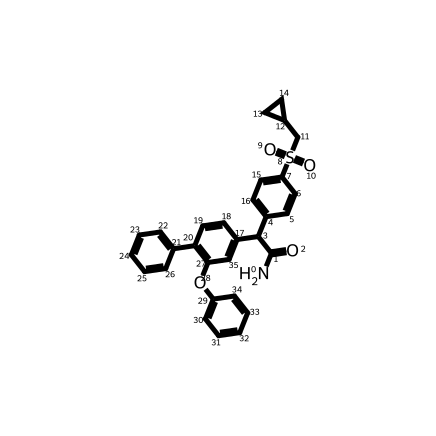 NC(=O)C(c1ccc(S(=O)(=O)CC2CC2)cc1)c1ccc(-c2ccccc2)c(Oc2ccccc2)c1